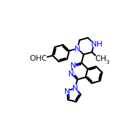 CC1NCCN(c2ccc(C=O)cc2)C1c1nnc(-n2cccn2)c2ccccc12